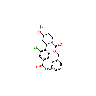 CCOC1CCN(C(=O)OCc2ccccc2)C(c2ccc(C(=O)OC)cc2Cl)C1